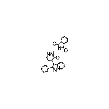 O=C1c2ccccc2C(=O)N1CCn1nccc(-c2c(-c3ccccc3)nn3ccccc23)c1=O